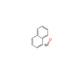 [O]=[Sn].c1ccc2ccccc2c1